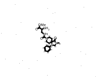 COC(=O)C(N)CNC(=O)N1CCC2(CC1)C(=O)N(C)CN2c1ccccc1